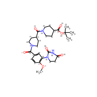 COc1ccc(C(=O)N2CCC(C(=O)N3CCC(C(=O)OC(C)(C)C)CC3)CC2)cc1N1CCC(=O)NC1=O